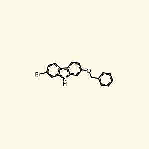 Brc1ccc2c(c1)[nH]c1cc(OCc3ccccc3)ccc12